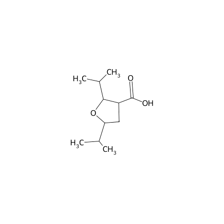 CC(C)C1CC(C(=O)O)C(C(C)C)O1